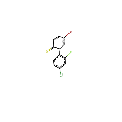 Fc1cc(Cl)ccc1C1C=C(Br)C=[C]C1=S